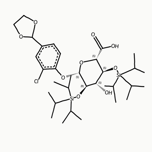 CC(C)[Si](O[C@H]1[C@H](Oc2ccc(C3OCCO3)cc2Cl)O[C@H](C(=O)O)[C@@H](O[Si](C(C)C)(C(C)C)C(C)C)[C@@H]1O)(C(C)C)C(C)C